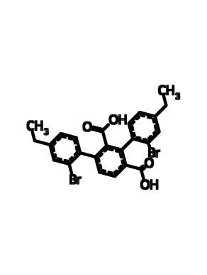 CCc1ccc(-c2ccc(C(=O)O)c(-c3ccc(CC)cc3Br)c2C(=O)O)c(Br)c1